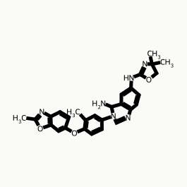 Cc1nc2ccc(Oc3ccc(N4C=Nc5ccc(NC6=NC(C)(C)CO6)cc5C4N)cc3C)cc2o1